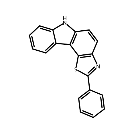 c1ccc(-c2nc3ccc4[nH]c5ccccc5c4c3s2)cc1